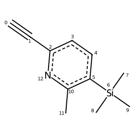 C#Cc1ccc([Si](C)(C)C)c(C)n1